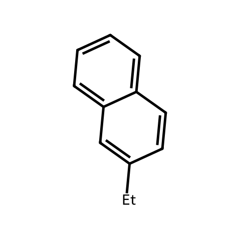 CCc1ccc2ccccc2c1